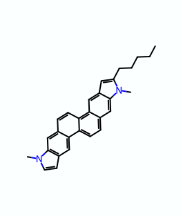 CCCCCc1cc2cc3c(ccc4c5cc6ccn(C)c6cc5ccc34)cc2n1C